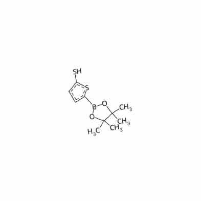 CC1(C)OB(c2ccc(S)s2)OC1(C)C